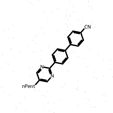 CCCCCc1cnc(-c2ccc(-c3ccc(C#N)cc3)cc2)nc1